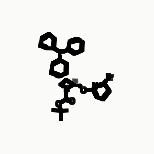 CC(C)(C)OC(=O)N1CC[C@H]1COc1cccc(Br)n1.c1ccc(P(c2ccccc2)c2ccccc2)cc1